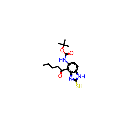 CCCCC(=O)c1c(NC(=O)OC(C)(C)C)ccc2[nH]c(S)nc12